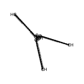 C#CC#CC#CC#CC#CC#CC#CC#CC#CC#CC#CC#CC#COC(=O)CC(O)(CC(=O)OC#CC#CC#CC#CC#CC#CC#CC#CC#CC#CC#CC#CC#C)C(=O)OC#CC#CC#CC#CC#CC#CC#CC#CC#CC#CC#CC#CC#C